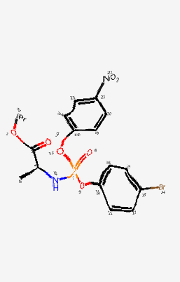 CC(C)OC(=O)[C@H](C)NP(=O)(Oc1ccc(Br)cc1)Oc1ccc([N+](=O)[O-])cc1